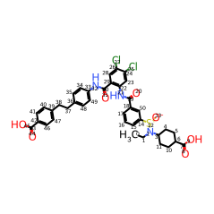 CCN(C1CCC(C(=O)O)CC1)[S+]([O-])c1cccc(C(=O)Nc2cc(Cl)c(Cl)cc2C(=O)Nc2ccc(CCc3ccc(C(=O)O)cc3)cc2)c1